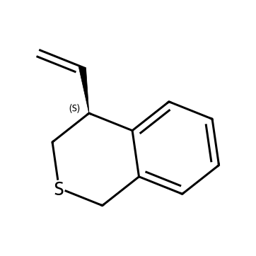 C=C[C@@H]1CSCc2ccccc21